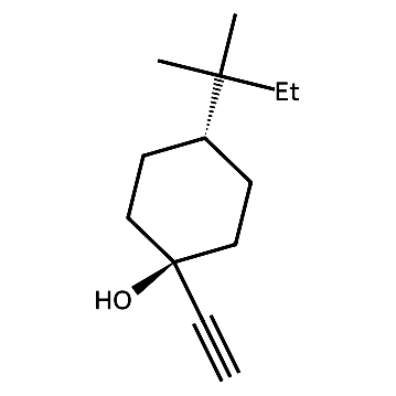 C#C[C@]1(O)CC[C@H](C(C)(C)CC)CC1